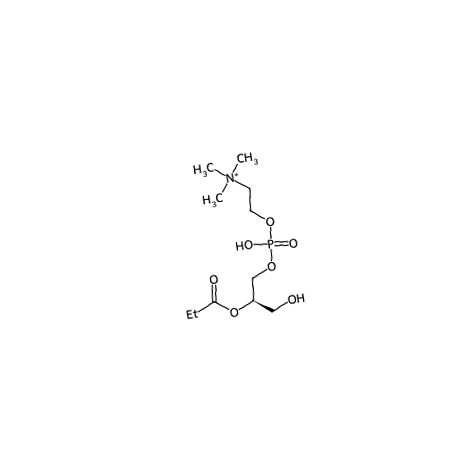 CCC(=O)O[C@H](CO)COP(=O)(O)OCC[N+](C)(C)C